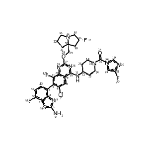 Nc1nc2c(-c3c(Cl)cc4c(NC5CCN(C(=O)n6cnc(F)c6)CC5)nc(OC[C@@]56CCCN5C[C@H](F)C6)nc4c3F)ccc(F)c2s1